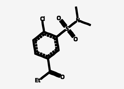 CCC(=O)c1ccc(Cl)c(S(=O)(=O)N(C)C)c1